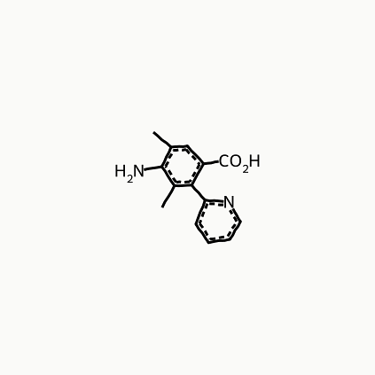 Cc1cc(C(=O)O)c(-c2ccccn2)c(C)c1N